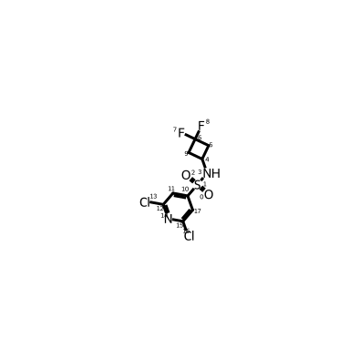 O=S(=O)(NC1CC(F)(F)C1)c1cc(Cl)nc(Cl)c1